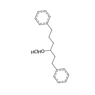 Cl.OC(CCCc1ccccc1)CCc1ccccc1